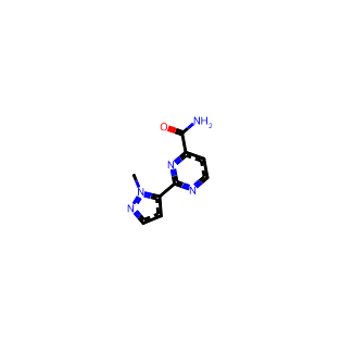 Cn1nccc1-c1nccc(C(N)=O)n1